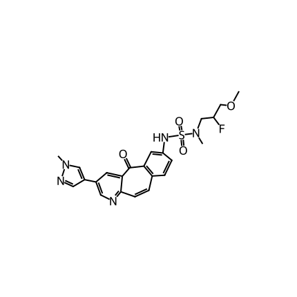 COCC(F)CN(C)S(=O)(=O)Nc1ccc2ccc3ncc(-c4cnn(C)c4)cc3c(=O)c2c1